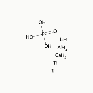 O=P(O)(O)O.[AlH3].[CaH2].[LiH].[Ti].[Ti]